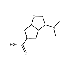 CN(C)C1COC2CN(C(=O)O)CC21